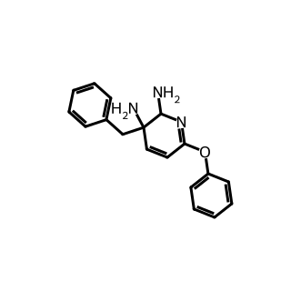 NC1N=C(Oc2ccccc2)C=CC1(N)Cc1ccccc1